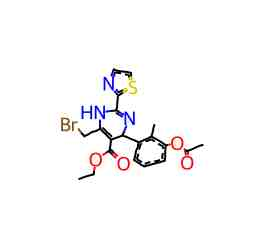 CCOC(=O)C1=C(CBr)NC(c2nccs2)=NC1c1cccc(OC(C)=O)c1C